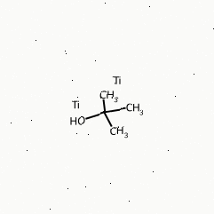 CC(C)(C)O.[Ti].[Ti]